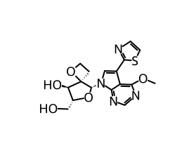 COc1ncnc2c1c(-c1nccs1)cn2[C@@H]1O[C@H](CO)[C@@H](O)[C@]12CCO2